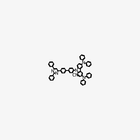 N#Cc1cc(-c2ccc(-c3cc(-c4ccccc4)nc(-c4ccccc4)n3)cc2)ccc1-n1c2ccc(N(c3ccccc3)c3ccccc3)cc2c2cc(N(c3ccccc3)c3ccccc3)ccc21